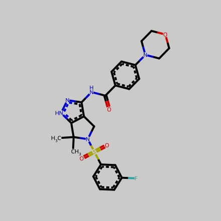 CC1(C)c2[nH]nc(NC(=O)c3ccc(N4CCOCC4)cc3)c2CN1S(=O)(=O)c1cccc(F)c1